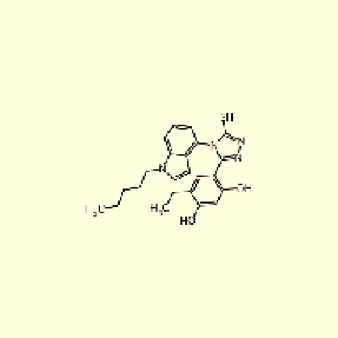 CCCCCn1ccc2c(-n3c(S)nnc3-c3cc(CC)c(O)cc3O)cccc21